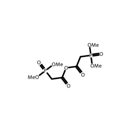 COP(=O)(CC(=O)OC(=O)CP(=O)(OC)OC)OC